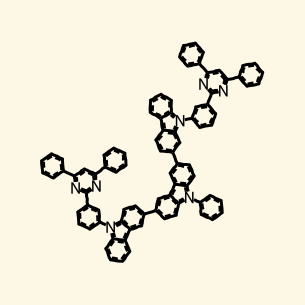 c1ccc(-c2cc(-c3ccccc3)nc(-c3cccc(-n4c5ccccc5c5cc(-c6ccc7c(c6)c6cc(-c8ccc9c%10ccccc%10n(-c%10cccc(-c%11nc(-c%12ccccc%12)cc(-c%12ccccc%12)n%11)c%10)c9c8)ccc6n7-c6ccccc6)ccc54)c3)n2)cc1